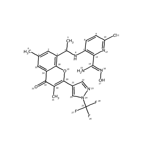 Cc1cc(C(C)Nc2ccc(Cl)nc2C(N)=NO)c2oc(-c3cnn(C(F)(F)F)c3)c(C)c(=O)c2c1